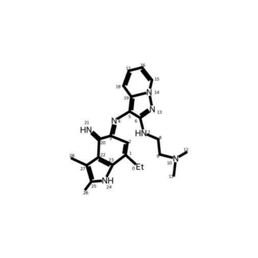 CCC1=CC(=Nc2c(NCCN(C)C)nn3ccccc23)C(=N)c2c1[nH]c(C)c2C